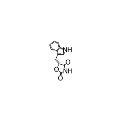 O=C1NC(=O)C(=Cc2c[nH]c3ccccc23)O1